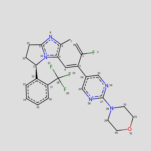 C=C(F)/C(=C\c1c(C)nc2n1[C@@H](c1ccccc1C(F)(F)F)CC2)c1cnc(N2CCOCC2)nc1